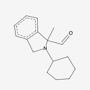 CC1(C=O)c2ccccc2CN1C1CCCCC1